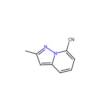 Cc1cc2cccc(C#N)n2n1